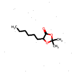 CCCCCCC1OC(C)(C)OC1=O